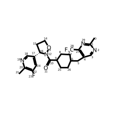 Cc1ncc(CC2CCC(C(=O)N3OCC[C@H]3c3cnc(C)c(F)c3)CC2)c(C(F)(F)F)n1